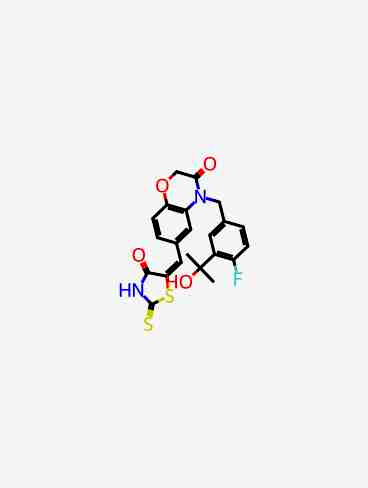 CC(C)(O)c1cc(CN2C(=O)COc3ccc(C=C4SC(=S)NC4=O)cc32)ccc1F